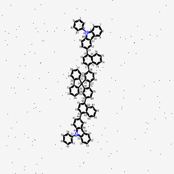 c1ccc(-n2c3ccccc3c3cc(-c4ccc(-c5ccc6c(c5)C5(c7ccccc7-c7ccccc75)c5cc(-c7ccc(-c8ccc9c(c8)c8ccccc8n9-c8ccccc8)c8ccccc78)ccc5-6)c5ccccc45)ccc32)cc1